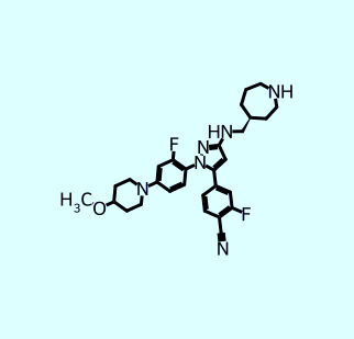 COC1CCN(c2ccc(-n3nc(NC[C@H]4CCCNCC4)cc3-c3ccc(C#N)c(F)c3)c(F)c2)CC1